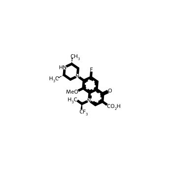 COc1c(N2C[C@@H](C)N[C@@H](C)C2)c(F)cc2c(=O)c(C(=O)O)cn([C@H](C)C(F)(F)F)c12